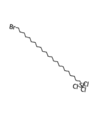 Cl[Si](Cl)(Cl)CCCCCCCCCCCCCCCCCCCCCCCBr